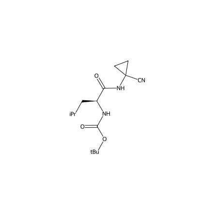 CC(C)C[C@H](NC(=O)OC(C)(C)C)C(=O)NC1(C#N)CC1